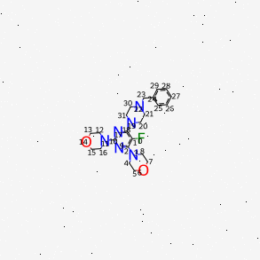 Fc1c(N2CCOCC2)nc(N2CCOCC2)nc1N1CCN(Cc2ccccc2)CC1